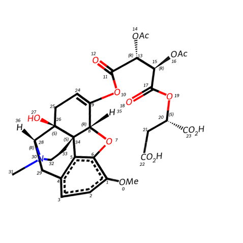 COc1ccc2c3c1O[C@H]1C(OC(=O)[C@H](OC(C)=O)[C@@H](OC(C)=O)C(=O)O[C@@H](CC(=O)O)C(=O)O)=CC[C@@]4(O)[C@@H](C2)N(C)CC[C@]314